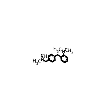 CN(C)Cc1ccc(Cc2cc[c]cc2N(C)C)cc1